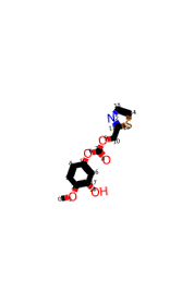 COc1ccc(OC(=O)OCc2nccs2)cc1O